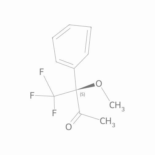 CO[C@](C(C)=O)(c1ccccc1)C(F)(F)F